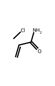 C=CC(N)=O.CCl